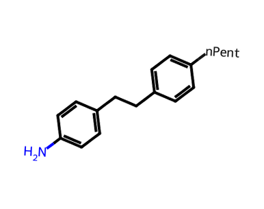 CCCCCc1ccc(CCc2ccc(N)cc2)cc1